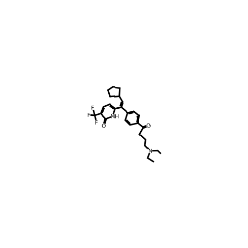 CCN(CC)CCCC(=O)c1ccc(C(=CC2CCCC2)c2ccc(C(F)(F)F)c(=O)[nH]2)cc1